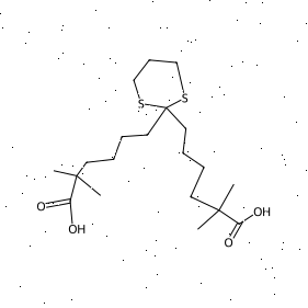 CC(C)(CCCCC1(CCCCC(C)(C)C(=O)O)SCCCS1)C(=O)O